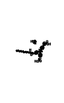 CCCCCCCCCCCCNC(=O)C=Cc1ccc(-c2nc(-c3ccc(C4=NOC(C(=O)O)C4)cc3)n(C)c2-c2ccc(OCC(=O)O)cc2)cc1.c1c[nH]cn1